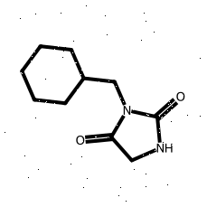 O=C1CNC(=O)N1CC1CCCCC1